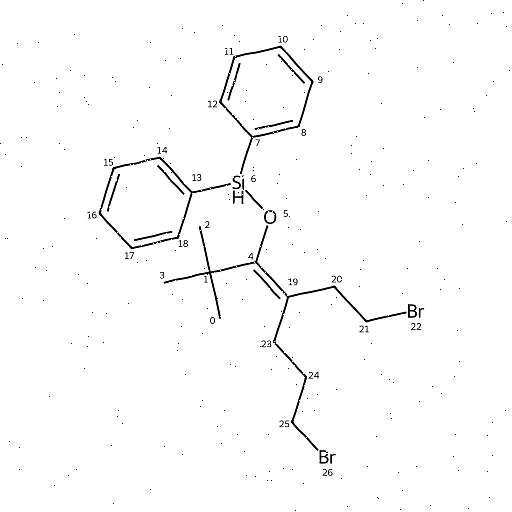 CC(C)(C)C(O[SiH](c1ccccc1)c1ccccc1)=C(CCBr)CCCBr